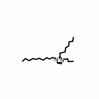 CCCCCCCCCC[n+]1ccn(CCC)c1CCCCCCC